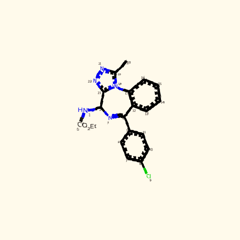 CCOC(=O)NC1N=C(c2ccc(Cl)cc2)c2ccccc2-n2c(C)nnc21